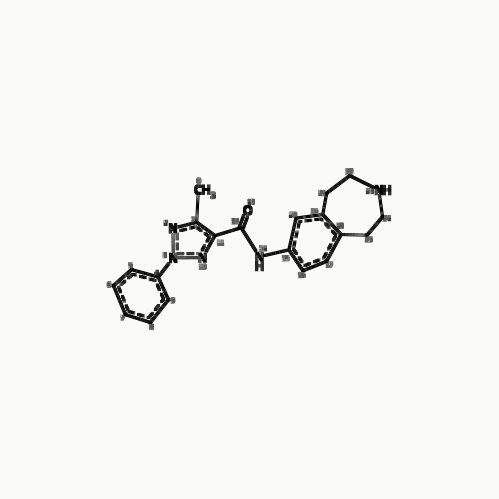 Cc1nn(-c2ccccc2)nc1C(=O)Nc1ccc2c(c1)CCNCC2